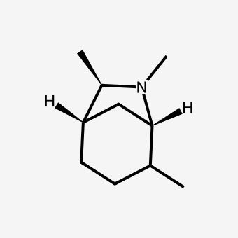 CC1CC[C@H]2C[C@@H]1N(C)[C@@H]2C